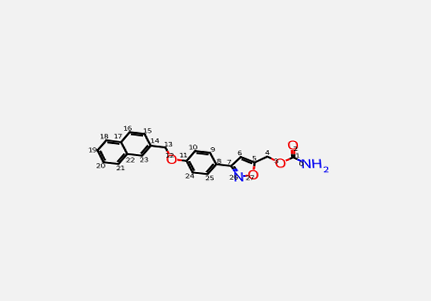 NC(=O)OCc1cc(-c2ccc(OCc3ccc4ccccc4c3)cc2)no1